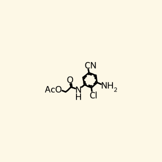 CC(=O)OCC(=O)Nc1cc(C#N)cc(N)c1Cl